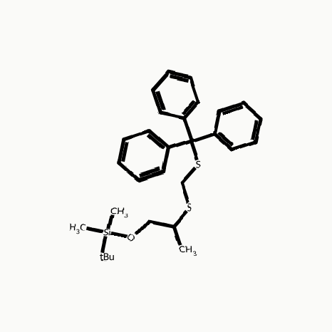 CC(CO[Si](C)(C)C(C)(C)C)SCSC(c1ccccc1)(c1ccccc1)c1ccccc1